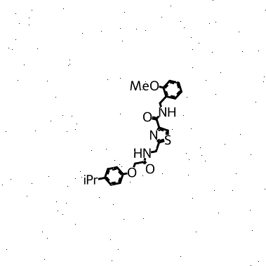 COc1ccccc1CNC(=O)c1csc(CNC(=O)COc2ccc(C(C)C)cc2)n1